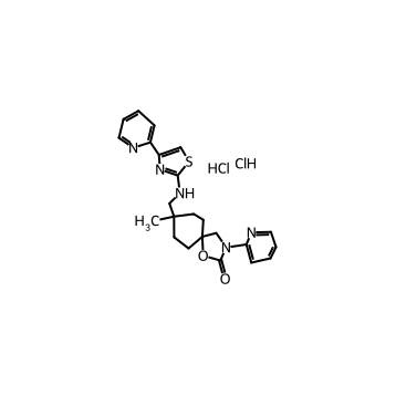 CC1(CNc2nc(-c3ccccn3)cs2)CCC2(CC1)CN(c1ccccn1)C(=O)O2.Cl.Cl